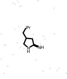 CC(C)CC1CNC(=N)C1